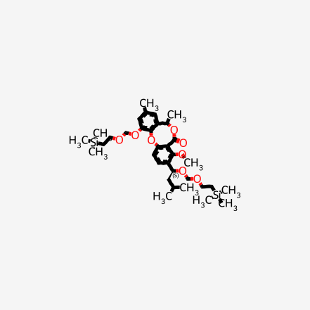 COc1c([C@H](CC(C)C)OCOCC[Si](C)(C)C)ccc2c1C(=O)OC(C)c1cc(C)cc(OCOCC[Si](C)(C)C)c1O2